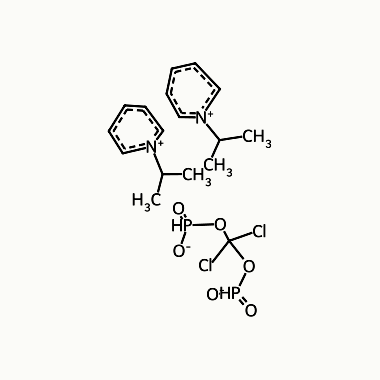 CC(C)[n+]1ccccc1.CC(C)[n+]1ccccc1.O=[PH]([O-])OC(Cl)(Cl)O[PH](=O)[O-]